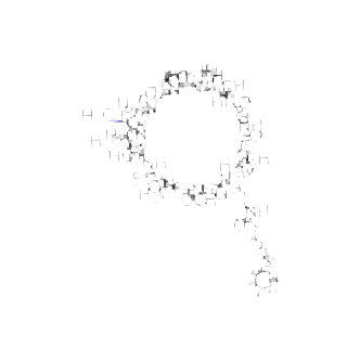 C/C=C/C[C@@H](C)[C@@H](O)[C@H]1C(=O)NC(CC)C(=O)N(C)CC(=O)N(C)CC(=O)NC(CCCCNC(=O)CCCSSc2ccccn2)C(=O)N(C)CC(=O)NCC(=O)N[C@H](C)C(=O)N(C)[C@@H](CC(C)C)C(=O)N(C)[C@@H](CC(C)C)C(=O)N(C)[C@@H](C(C)C)C(=O)N1C